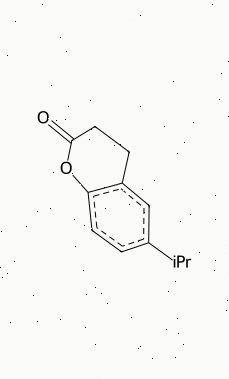 CC(C)c1ccc2c(c1)CCC(=O)O2